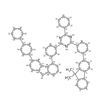 CC1(C)c2ccccc2-c2ccc(-c3cccc(-c4nc(-c5ccccc5)nc(-c5cccc(-c6cccc7sc8ccc(-c9ccc(-c%10ccccc%10)cc9)cc8c67)c5)n4)c3)cc21